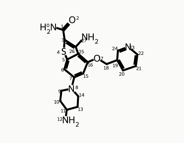 NC(=O)c1sc2cc(N3CCC(N)CC3)cc(OCc3cccnc3)c2c1N